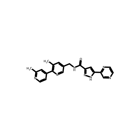 Cc1cc(-c2ncc(CNC(=O)c3cc(-c4cnccn4)[nH]n3)cc2C)ccn1